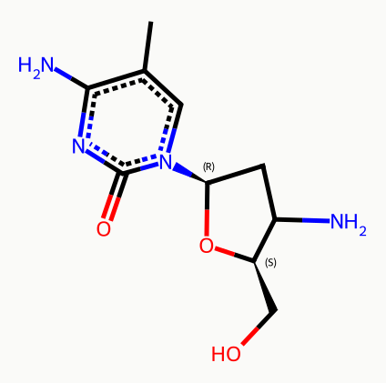 Cc1cn([C@H]2CC(N)[C@@H](CO)O2)c(=O)nc1N